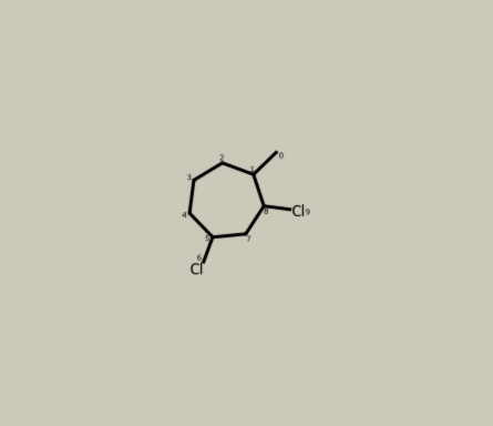 CC1CCCC(Cl)CC1Cl